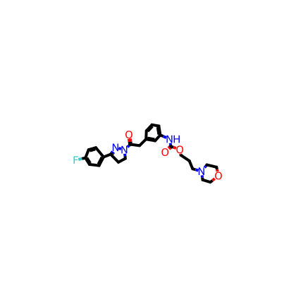 O=C(Nc1cccc(CC(=O)N2CCC(c3ccc(F)cc3)=N2)c1)OCCCN1CCOCC1